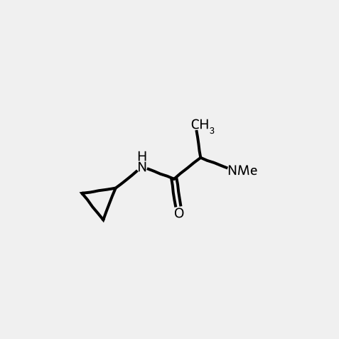 CNC(C)C(=O)NC1CC1